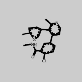 CNC(=O)c1cc(-c2ccnc(C)c2-c2ccc(C)nc2)ccc1Cl